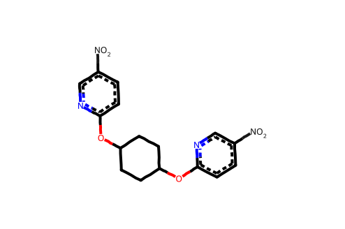 O=[N+]([O-])c1ccc(OC2CCC(Oc3ccc([N+](=O)[O-])cn3)CC2)nc1